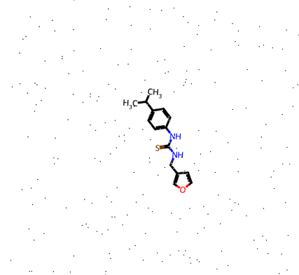 CC(C)c1ccc(NC(=S)NCc2ccoc2)cc1